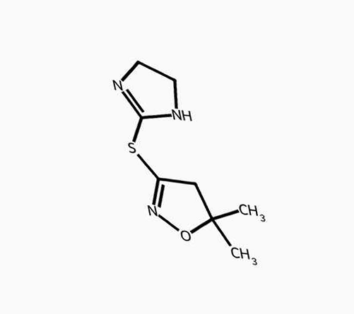 CC1(C)CC(SC2=NCCN2)=NO1